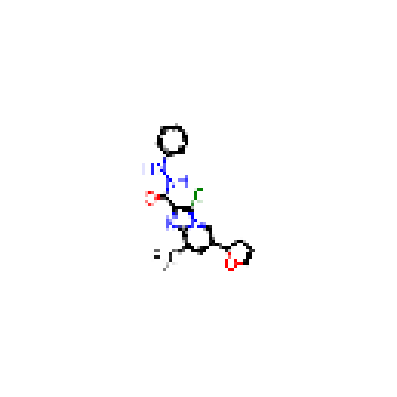 O=C(NNc1ccccc1)c1nc2c(C(F)(F)F)cc(C3CC=CO3)cn2c1Cl